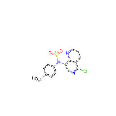 O=C(O)c1ccc(N(c2cnc(Cl)c3cccnc23)[SH](=O)=O)cc1